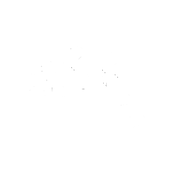 c1ccc(-c2ccc(-c3nc(-c4ccccc4)nc(-c4cccc(-n5c6ccccc6c6ccc7c(c65)-c5ccccc5C75c6ccccc6-c6ccccc65)c4)n3)cc2)cc1